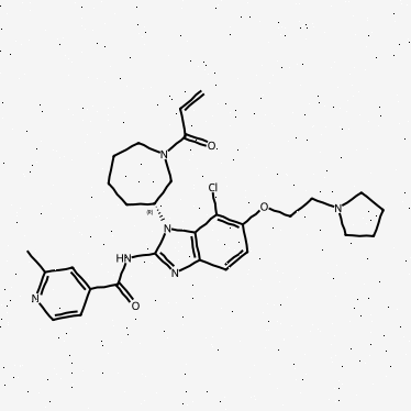 C=CC(=O)N1CCCC[C@@H](n2c(NC(=O)c3ccnc(C)c3)nc3ccc(OCCN4CCCC4)c(Cl)c32)C1